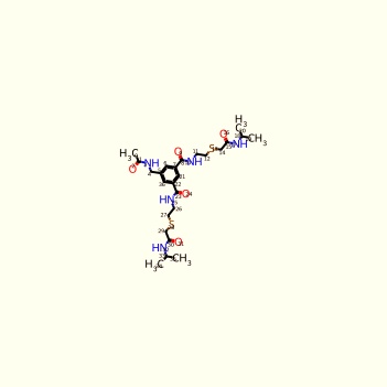 CC(=O)NCc1cc(C(=O)NCCSCC(=O)NC(C)C)cc(C(=O)NCCSCC(=O)NC(C)C)c1